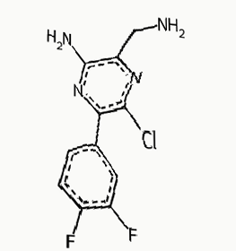 NCc1nc(Cl)c(-c2ccc(F)c(F)c2)nc1N